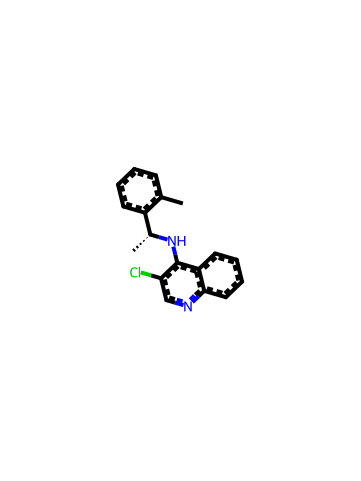 Cc1ccccc1[C@@H](C)Nc1c(Cl)cnc2ccccc12